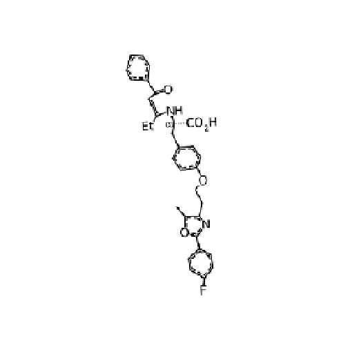 CCC(=CC(=O)c1ccccc1)N[C@@H](Cc1ccc(OCCc2nc(-c3ccc(F)cc3)oc2C)cc1)C(=O)O